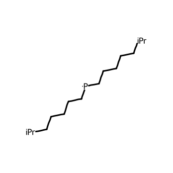 CC(C)CCCCC[P]CCCCCC(C)C